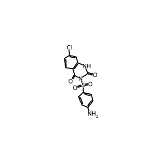 Nc1ccc(S(=O)(=O)n2c(=O)[nH]c3cc(Cl)ccc3c2=O)cc1